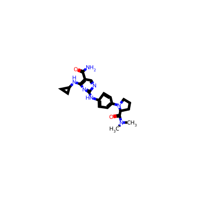 CN(C)C(=O)C1CCCN1c1ccc(Nc2ncc(C(N)=O)c(NC3CC3)n2)cc1